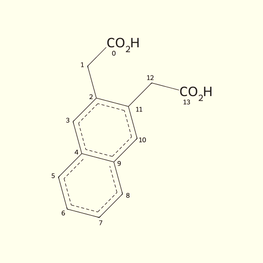 O=C(O)Cc1cc2ccccc2cc1CC(=O)O